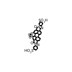 O=c1c2cc3c4c5c(cc6c(=O)n7c8cc(S(=O)(=O)O)ccc8nc7c7ccc(c8ccc(c2c84)c2nc4ccc(S(=O)(=O)O)cc4n12)c5c67)S(=O)(=O)O3